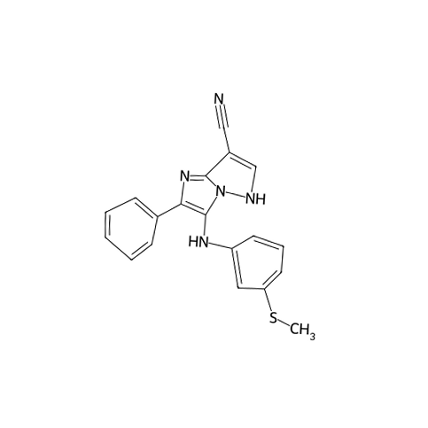 CSc1cccc(Nc2c(-c3ccccc3)nc3c(C#N)c[nH]n23)c1